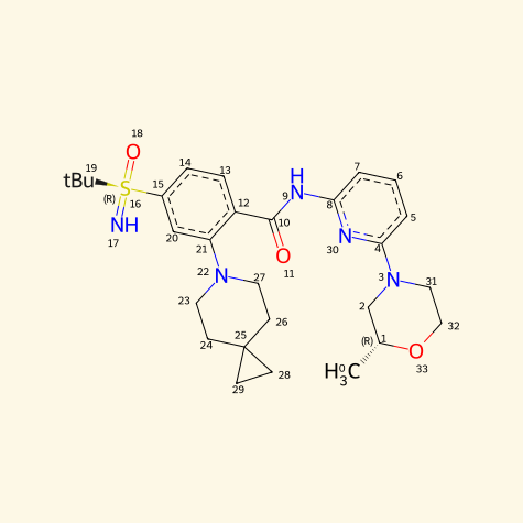 C[C@@H]1CN(c2cccc(NC(=O)c3ccc([S@](=N)(=O)C(C)(C)C)cc3N3CCC4(CC3)CC4)n2)CCO1